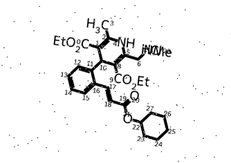 CCOC(=O)C1=C(C)NC(CNC)=C(C(=O)OCC)C1c1ccccc1/C=C/C(=O)OC1CCCCC1.Cl